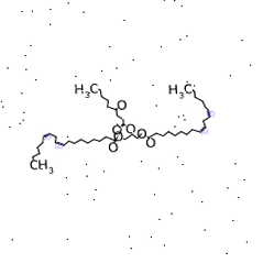 CCCCC/C=C\C/C=C\CCCCCCCC(=O)OCC(COC(=O)CCCCCCC/C=C\C/C=C\CCCCC)OC(=O)CCC(=O)CCCCC